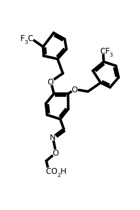 O=C(O)CON=Cc1ccc(OCc2cccc(C(F)(F)F)c2)c(OCc2cccc(C(F)(F)F)c2)c1